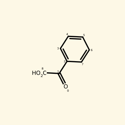 O=C(c1ccccc1)[13C](=O)O